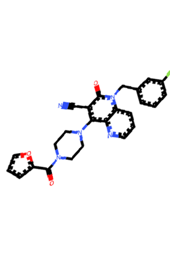 N#Cc1c(N2CCN(C(=O)c3ccco3)CC2)c2ncccc2n(Cc2cccc(F)c2)c1=O